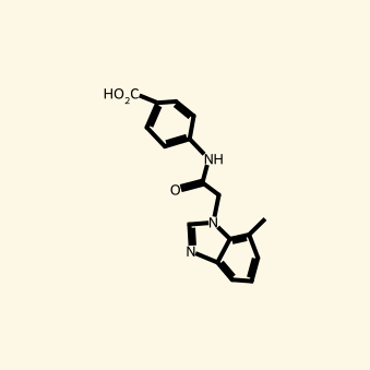 Cc1cccc2ncn(CC(=O)Nc3ccc(C(=O)O)cc3)c12